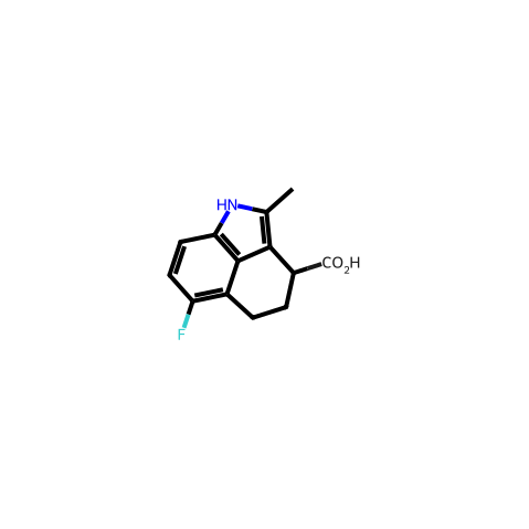 Cc1[nH]c2ccc(F)c3c2c1C(C(=O)O)CC3